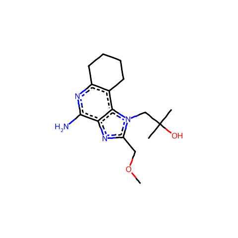 COCc1nc2c(N)nc3c(c2n1CC(C)(C)O)CCCC3